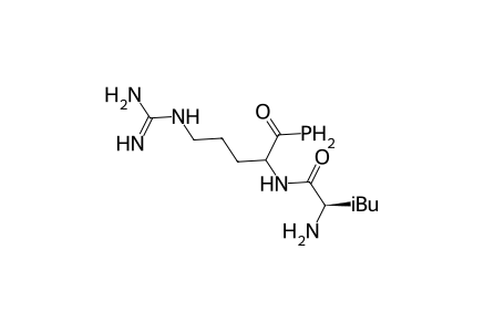 CCC(C)[C@@H](N)C(=O)NC(CCCNC(=N)N)C(=O)P